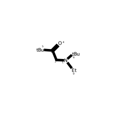 CCN(CC(=O)C(C)(C)C)C(C)(C)C